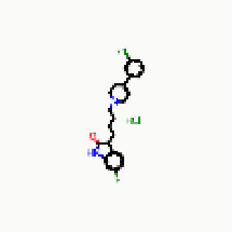 Cl.O=C1Nc2cc(F)ccc2C1CCCCN1CC=C(c2cccc(Cl)c2)CC1